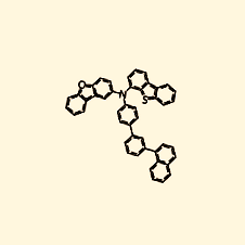 c1cc(-c2ccc(N(c3ccc4oc5ccccc5c4c3)c3cccc4c3sc3ccccc34)cc2)cc(-c2cccc3ccccc23)c1